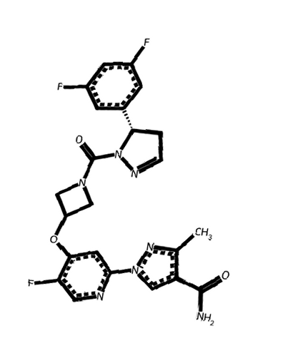 Cc1nn(-c2cc(OC3CN(C(=O)N4N=CC[C@H]4c4cc(F)cc(F)c4)C3)c(F)cn2)cc1C(N)=O